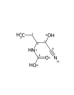 CCC(NC(=O)O)C(O)C#N